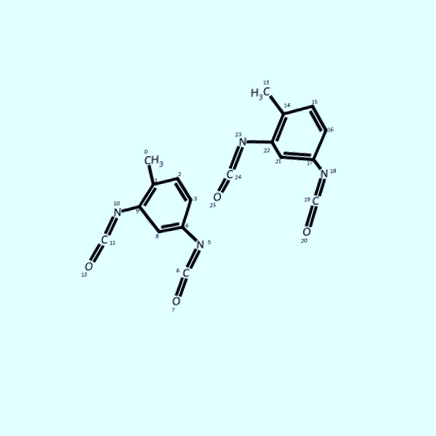 Cc1ccc(N=C=O)cc1N=C=O.Cc1ccc(N=C=O)cc1N=C=O